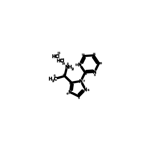 CC(N)c1ncnn1-c1ncccn1.Cl.Cl